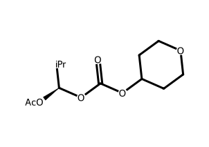 CC(=O)O[C@H](OC(=O)OC1CCOCC1)C(C)C